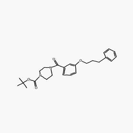 CC(C)(C)OC(=O)N1CCN(C(=O)c2cccc(OCCCc3ccccc3)c2)CC1